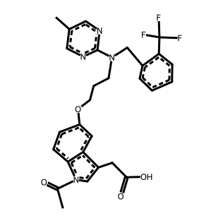 CC(=O)n1cc(CC(=O)O)c2cc(OCCCN(Cc3ccccc3C(F)(F)F)c3ncc(C)cn3)ccc21